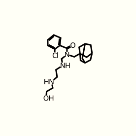 O=C(c1ccccc1Cl)N(CNCCNCCO)CC12CC3CC(CC(C3)C1)C2